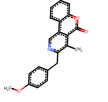 COc1ccc(Cc2ncc3c(c2C)c(=O)oc2ccccc23)cc1